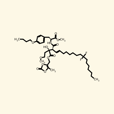 CCCCCCCC(F)(F)CCCCCC/C=C/[C@H](C(=O)N[C@@H](Cc1ccc(OCCCC)cc1)C(=O)OC)[C@@](O)(CCOC)C(=O)OCc1oc(=O)oc1C